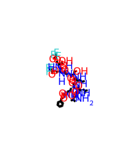 CC[C@H](C)[C@H](NC(=O)[C@@H](CCCNC(=O)OCc1ccccc1)NC(=O)[C@H](CC(C)C)NC(=O)[C@@H](N)[C@H](O)C(C)C)C(=O)N[C@H](C(=O)NCC(=O)N[C@@H](COC(=O)C(F)(F)F)C(=O)N[C@@H](COC(=O)C(F)(F)F)C(=O)O)[C@H](C)O